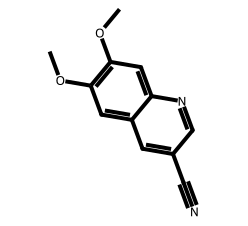 COc1cc2cc(C#N)cnc2cc1OC